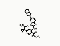 CNC(=O)c1nnc(C2(C(N)=O)CC2)cc1Nc1nc2ccc(N3CC4CCCC4C3)cn2n1